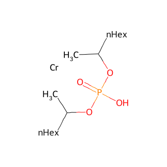 CCCCCCC(C)OP(=O)(O)OC(C)CCCCCC.[Cr]